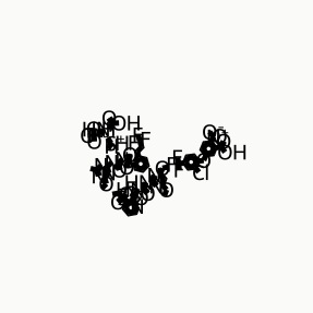 CCS(=O)(=O)c1cccnc1S(=O)(=O)NC(=O)Nc1nc(OC)cc(OC)n1.COc1nc(C)nc(NC(=O)NS(=O)(=O)c2ccccc2CCC(F)(F)F)n1.C[S+](C)C.O=C(O)CNCP(=O)([O-])O.O=C(O)c1cc(Oc2ccc(C(F)(F)F)cc2Cl)ccc1[N+](=O)[O-]